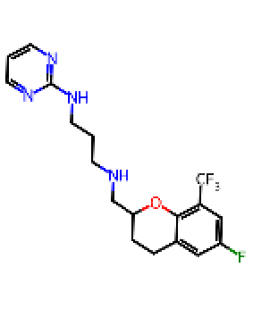 Fc1cc2c(c(C(F)(F)F)c1)OC(CNCCCNc1ncccn1)CC2